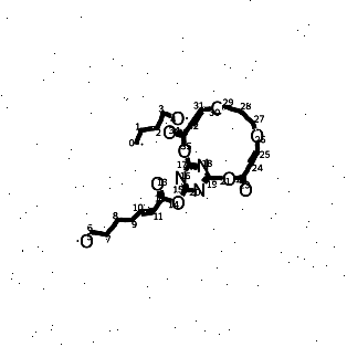 [CH2]CCC[O].[O]CCCCC=CC(=O)Oc1nc2nc(n1)OC(=O)C=COCCCCC=CC(=O)O2